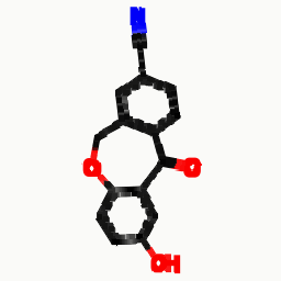 N#Cc1ccc2c(c1)COc1ccc(O)cc1C2=O